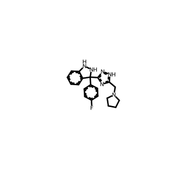 Fc1ccc(C2(c3n[nH]c(CN4CCCC4)n3)NNc3ccccc32)cc1